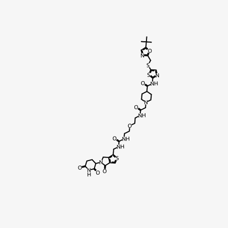 CC(C)(C)c1cnc(CSc2cnc(NC(=O)C3CCN(CC(=O)NCCOCCNC(=O)NCc4scc5c4CN(C4CCC(=O)NC4=O)C5=O)CC3)s2)o1